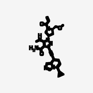 C=CC(=O)N1C[C@@H](n2nc(C#Cc3ccc(C4CC4)n4cncc34)c(C(N)=O)c2NC)C[C@@H]1COC